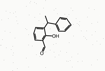 CC(c1ccccc1)c1cccc(C=O)c1O